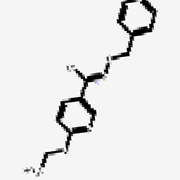 CC/C(=N\OCc1ccccc1)c1ccc(OCC(=O)O)nc1